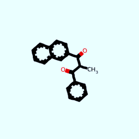 CC(C(=O)c1ccccc1)C(=O)c1ccc2ccccc2c1